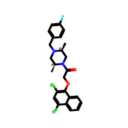 C[C@@H]1CN(Cc2ccc(F)cc2)[C@@H](C)CN1C(=O)COc1c(Cl)cc(Cl)c2ccccc12